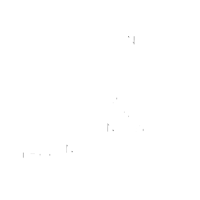 CCCCCCN1CCCN(S(=O)(=O)c2cccc3cnccc23)CC1